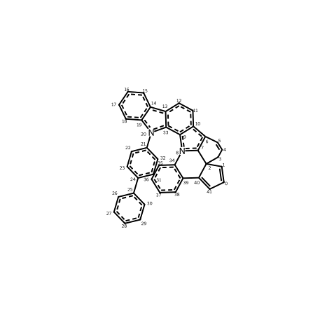 C1=CC23CC=Cc4c2n(c2c4ccc4c5ccccc5n(-c5ccc(-c6ccccc6)cc5)c42)-c2ccccc2C3=C1